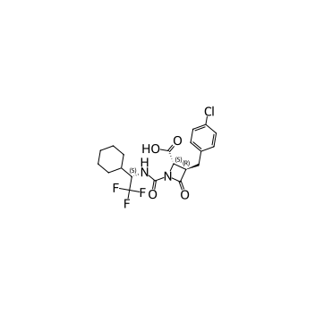 O=C(O)[C@@H]1[C@@H](Cc2ccc(Cl)cc2)C(=O)N1C(=O)N[C@@H](C1CCCCC1)C(F)(F)F